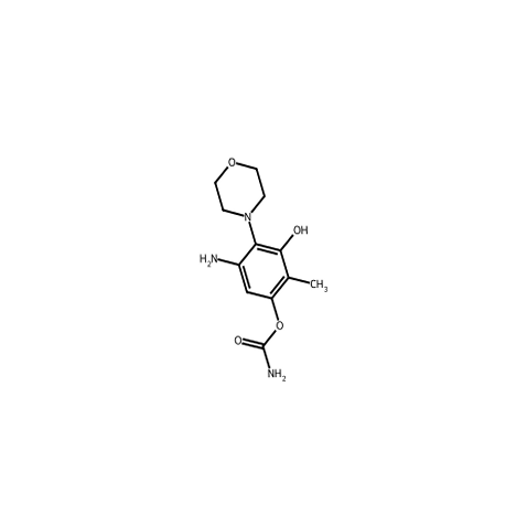 Cc1c(OC(N)=O)cc(N)c(N2CCOCC2)c1O